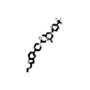 CCCc1cc2cc(C3=CCN(C(=O)CN4C(C)CN(c5ccc(C(F)(F)F)cn5)CC4C)CC3)ccc2s1